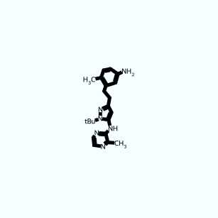 Cc1ccc(N)cc1CCc1cc(Nc2nccnc2C)n(C(C)(C)C)n1